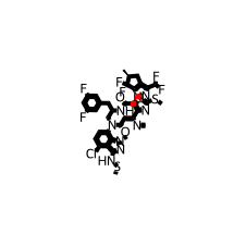 C=N/C(=C\C(=O)N(CC(Cc1cc(F)cc(F)c1)NC(=O)Cn1nc(C(F)F)c2c1C(F)(F)[C@@H](C)C2)c1ccc(Cl)c2c(NSC)nn(C)c12)c1csc(SC)n1